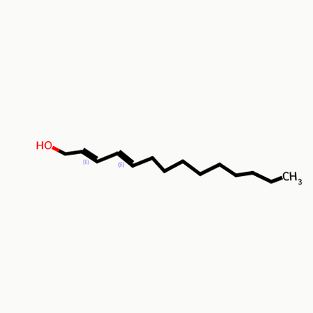 CCCCCCCCC/C=C/C=C/CO